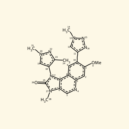 COc1cc2ncc3c(c2cc1-c1cn(C)nn1)n(-c1cn(C)nc1C)c(=O)n3C